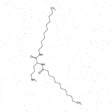 CCCCCCCCCCCNC(=O)C(CCCN)NC(=O)CCCCCCCCCCC